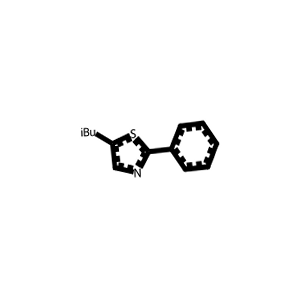 CCC(C)c1cnc(-c2ccccc2)s1